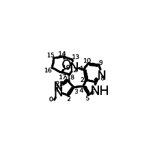 Cn1cc(-c2c[nH]c3nccc(N4CC5CCC(C4)O5)c23)cn1